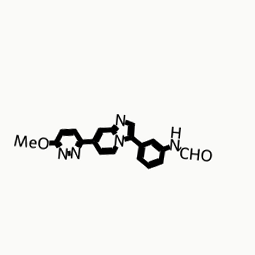 COc1ccc(-c2ccn3c(-c4cccc(NC=O)c4)cnc3c2)nn1